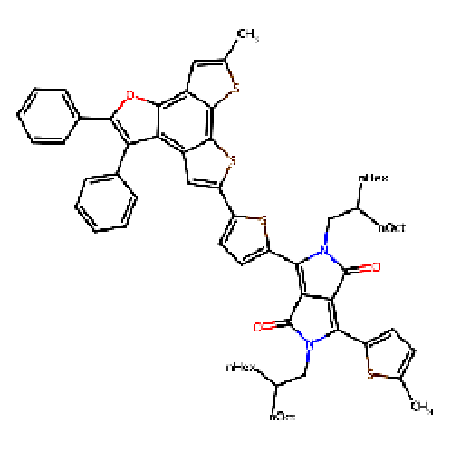 CCCCCCCCC(CCCCCC)CN1C(=O)C2=C(c3ccc(-c4cc5c(s4)c4sc(C)cc4c4oc(-c6ccccc6)c(-c6ccccc6)c54)s3)N(CC(CCCCCC)CCCCCCCC)C(=O)C2=C1c1ccc(C)s1